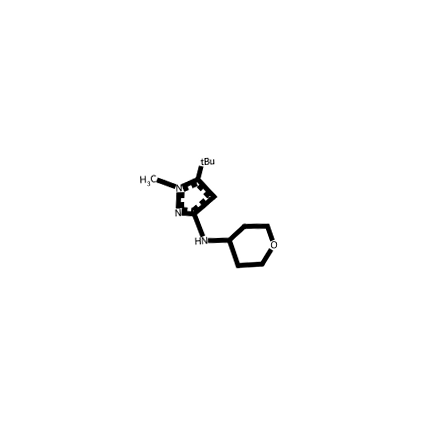 Cn1nc(NC2CCOCC2)cc1C(C)(C)C